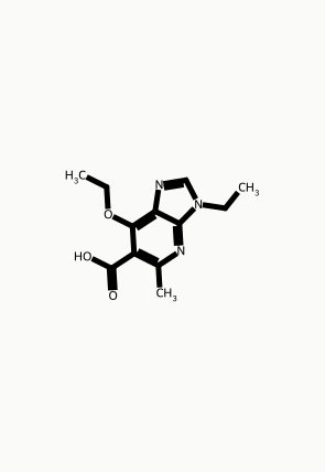 CCOc1c(C(=O)O)c(C)nc2c1ncn2CC